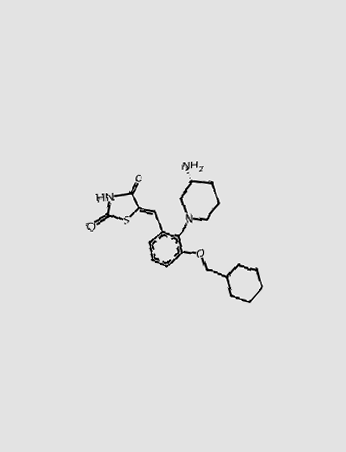 N[C@@H]1CCCN(c2c(/C=C3\SC(=O)NC3=O)cccc2OCC2CCCCC2)C1